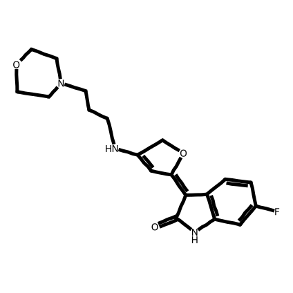 O=C1Nc2cc(F)ccc2C1=C1C=C(NCCCN2CCOCC2)CO1